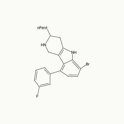 CCCCCC1Cc2[nH]c3c(Br)ccc(-c4cccc(F)c4)c3c2CN1